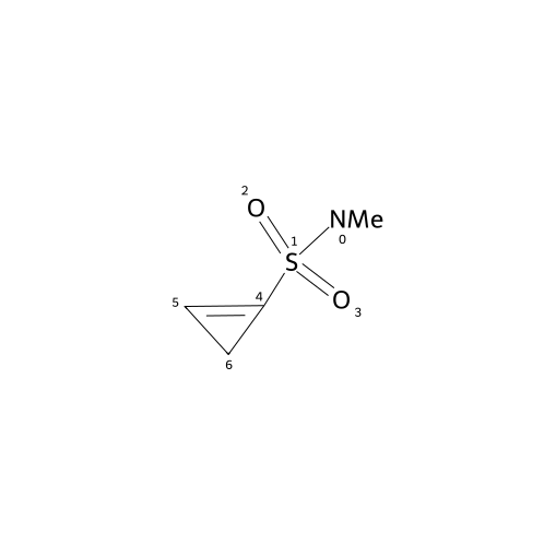 CNS(=O)(=O)C1=CC1